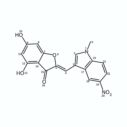 Cn1cc(C=C2Oc3cc(O)cc(O)c3C2=O)c2cc([N+](=O)[O-])ccc21